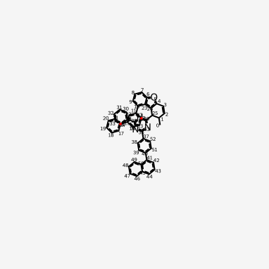 CC1C=Cc2oc3cccc(-c4cccc(-c5ccccc5)c4)c3c2C1c1nc(-c2ccccc2)nc(-c2ccc(-c3cccc4ccccc34)cc2)n1